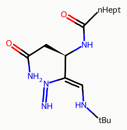 CCCCCCCC(=O)N[C@H](CC(N)=O)/C(=C/NC(C)(C)C)N=N